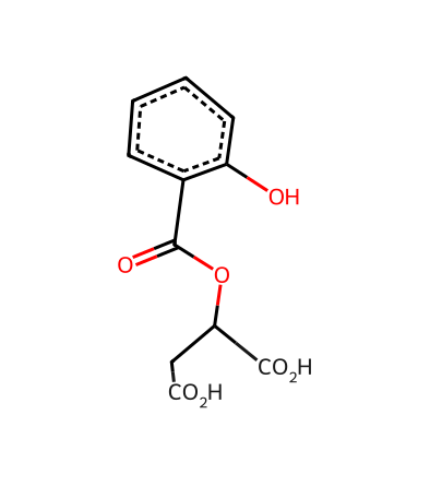 O=C(O)CC(OC(=O)c1ccccc1O)C(=O)O